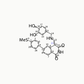 CSc1ccc(-c2ccc3c(c2)/C(=C\NCc2ccc(O)c(O)c2)C(=O)NC3=O)cc1